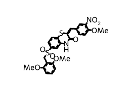 COc1ccc(C=C2Sc3ccc(S(=O)(=O)Cc4c(OC)cccc4OC)cc3NC2=O)cc1[N+](=O)[O-]